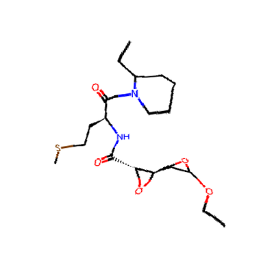 CCOC1OC1[C@H]1O[C@@H]1C(=O)N[C@@H](CCSC)C(=O)N1CCCCC1CC